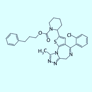 Cc1nnc2n1-c1sc(C3CCCCN3C(=O)OCCCc3ccccc3)cc1C(c1ccccc1Cl)=NC2